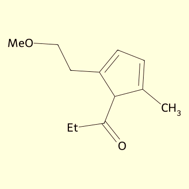 CCC(=O)C1C(C)=CC=C1CCOC